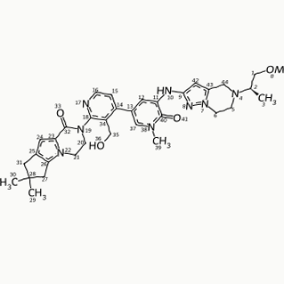 COC[C@@H](C)N1CCn2nc(Nc3cc(-c4ccnc(N5CCn6c(cc7c6CC(C)(C)C7)C5=O)c4CO)cn(C)c3=O)cc2C1